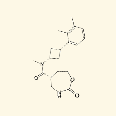 Cc1cccc([C@H]2C[C@@H](N(C)C(=O)[C@@H]3CCOC(=O)NC3)C2)c1C